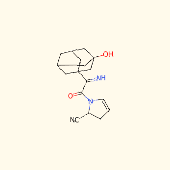 N#CC1CC=CN1C(=O)C(=N)C12CC3CC(CC(O)(C3)C1)C2